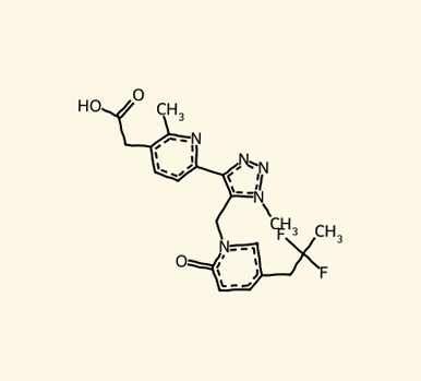 Cc1nc(-c2nnn(C)c2Cn2cc(CC(C)(F)F)ccc2=O)ccc1CC(=O)O